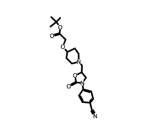 CC(C)(C)OC(=O)COC1CCN(CC2CN(c3ccc(C#N)cc3)C(=O)O2)CC1